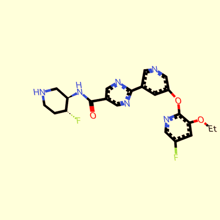 CCOc1cc(F)cnc1Oc1cncc(-c2ncc(C(=O)N[C@@H]3CNCC[C@H]3F)cn2)c1